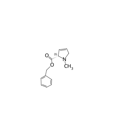 CN1CC=C[C@H]1C(=O)OCc1ccccc1